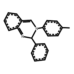 Cc1ccc(N2C=c3ccccc3=NC2c2ccccc2)cc1